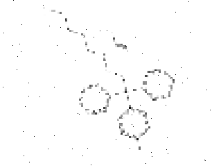 Cc1ccc(C(CN[C@@H](CCCCN)C(=O)O)(c2ccccc2)c2ccccc2)cc1